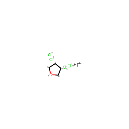 C1CCOC1.[Cl-].[Cl-].[Cl-].[Cl-].[Hf+4]